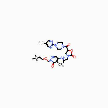 CC(CN1CC(C(=O)N2CCN(c3ncc(C(F)(F)F)cn3)CC2)OC1=O)Nc1cnn(COCC[Si](C)(C)C)c(=O)c1C(F)(F)F